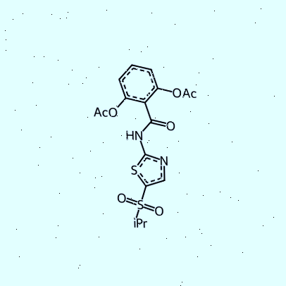 CC(=O)Oc1cccc(OC(C)=O)c1C(=O)Nc1ncc(S(=O)(=O)C(C)C)s1